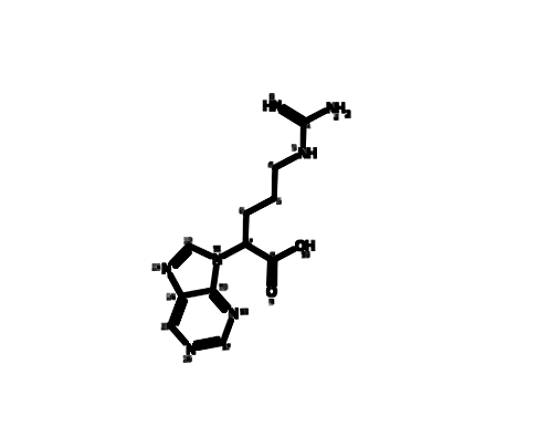 N=C(N)NCCCC(C(=O)O)n1cnc2cncnc21